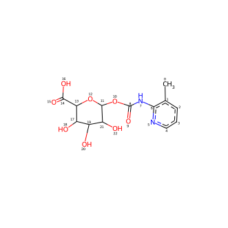 Cc1cccnc1NC(=O)OC1OC(C(=O)O)C(O)C(O)C1O